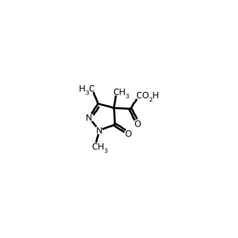 CC1=NN(C)C(=O)C1(C)C(=O)C(=O)O